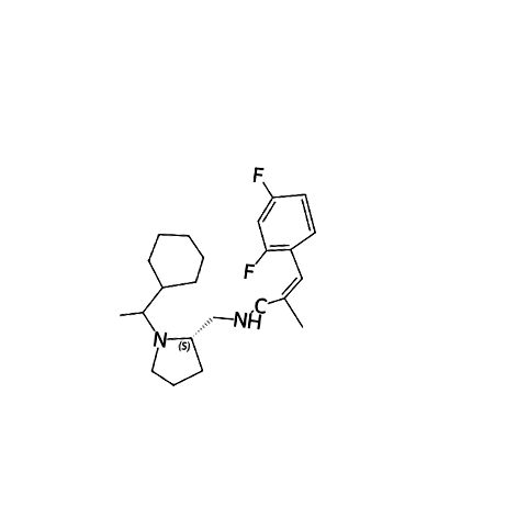 CC(=Cc1ccc(F)cc1F)CNC[C@@H]1CCCN1C(C)C1CCCCC1